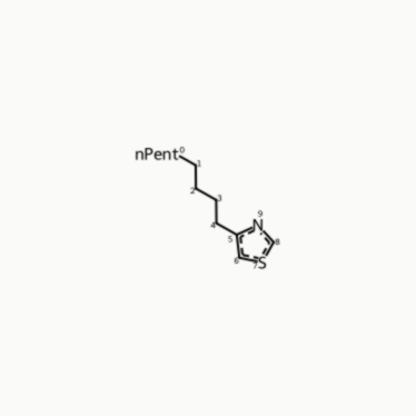 CCCCCCCCCc1cscn1